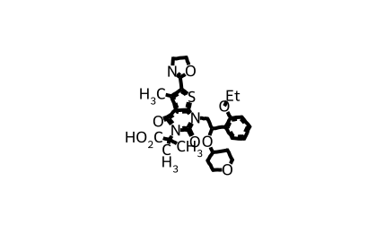 CCOc1ccccc1C(Cn1c(=O)n(C(C)(C)C(=O)O)c(=O)c2c(C)c(C3=NCCO3)sc21)OC1CCOCC1